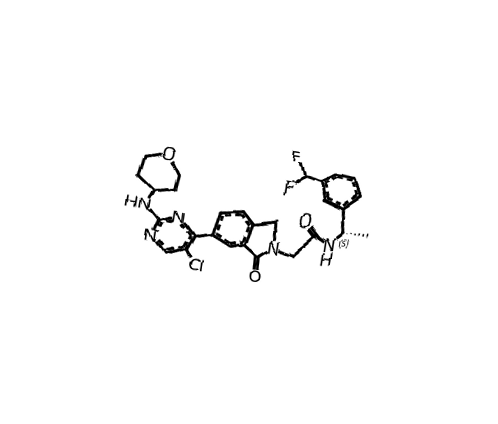 C[C@H](NC(=O)CN1Cc2ccc(-c3nc(NC4CCOCC4)ncc3Cl)cc2C1=O)c1cccc(C(F)F)c1